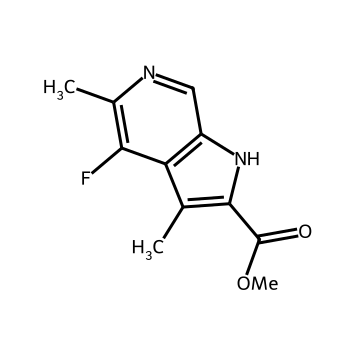 COC(=O)c1[nH]c2cnc(C)c(F)c2c1C